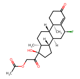 CC(=O)OCC(=O)[C@@]1(O)CC[C@H]2[C@@H]3C[C@H](F)C4=CC(=O)CC[C@]4(C)[C@H]3CC[C@@]21C